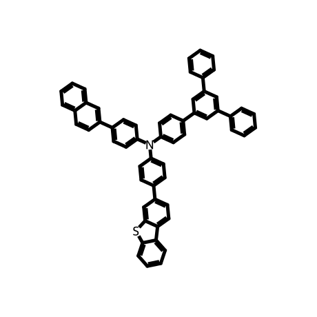 c1ccc(-c2cc(-c3ccccc3)cc(-c3ccc(N(c4ccc(-c5ccc6ccccc6c5)cc4)c4ccc(-c5ccc6c(c5)sc5ccccc56)cc4)cc3)c2)cc1